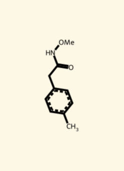 CONC(=O)Cc1ccc(C)cc1